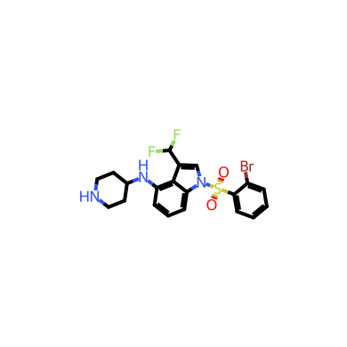 O=S(=O)(c1ccccc1Br)n1cc(C(F)F)c2c(NC3CCNCC3)cccc21